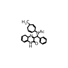 CC(=O)N(C1C=CCC(C)C=C1)C(C1=NC2CC=CC=C2NC1=O)c1ccccc1